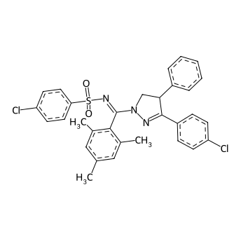 Cc1cc(C)c(/C(=N\S(=O)(=O)c2ccc(Cl)cc2)N2CC(c3ccccc3)C(c3ccc(Cl)cc3)=N2)c(C)c1